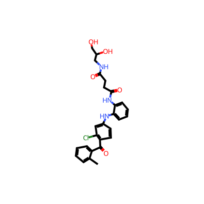 Cc1ccccc1C(=O)c1ccc(Nc2ccccc2NC(=O)CCC(=O)NCC(O)CO)cc1Cl